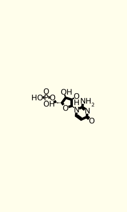 Nc1nc(=O)ccn1[C@@H]1O[C@H](COP(=O)(O)O)[C@@H](O)[C@H]1O